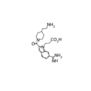 N=C(N)c1ccc2cc(C(=O)N3CCC(CCN)CC3)n(CCC(=O)O)c2c1